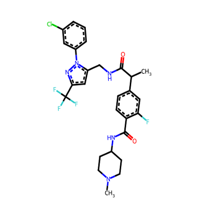 CC(C(=O)NCc1cc(C(F)(F)F)nn1-c1cccc(Cl)c1)c1ccc(C(=O)NC2CCN(C)CC2)c(F)c1